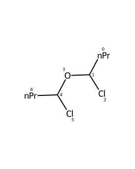 CCCC(Cl)OC(Cl)CCC